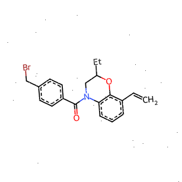 C=Cc1cccc2c1OC(CC)CN2C(=O)c1ccc(CBr)cc1